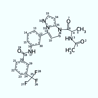 CC(=O)NC(C)C(=O)N1CC=C(c2cccc(NC(=O)c3cccc(C(F)(F)F)c3)c2)n2nccc21